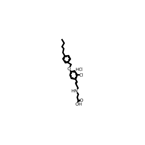 CCCCCc1ccc(COc2ccc(C=CCNCCC(=O)O)c(Cl)c2)cc1.Cl